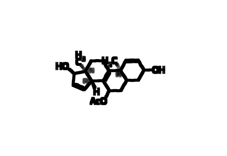 CC(=O)OC1CC2CC(O)C=C[C@]2(C)C2=C1[C@@H]1C=CC(O)[C@@]1(C)CC2